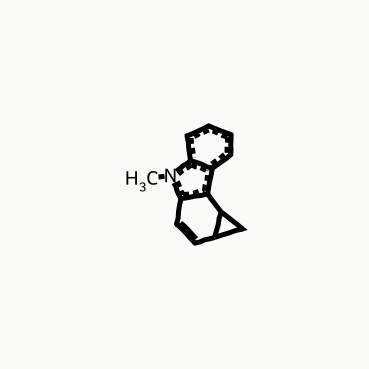 Cn1c2c(c3ccccc31)C1CC1C=C2